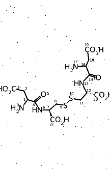 NC(CC(=O)O)C(=O)N[C@@H](CSSC[C@H](NC(=O)C(N)CC(=O)O)C(=O)O)C(=O)O